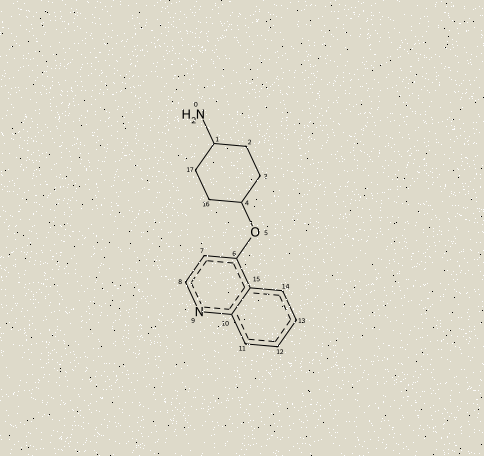 NC1CCC(Oc2ccnc3ccccc23)CC1